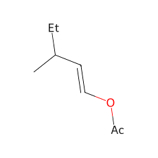 CCC(C)/C=C/OC(C)=O